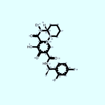 CCN1C(=O)c2c(O)c(=O)c(C(=O)N[C@H](C)c3ccc(F)cc3F)cn2N2CCCC[C@@H]12